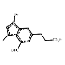 CCOC(=O)CCc1cc(C=O)c2c(C)cn(C(C)C)c2c1